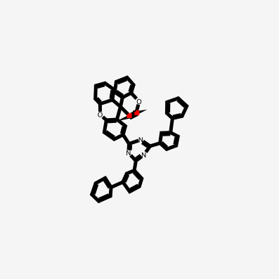 c1ccc(-c2cccc(-c3nc(-c4cccc(-c5ccccc5)c4)nc(-c4ccc5c(c4)C4(c6ccccc6Oc6ccccc64)c4ccccc4O5)n3)c2)cc1